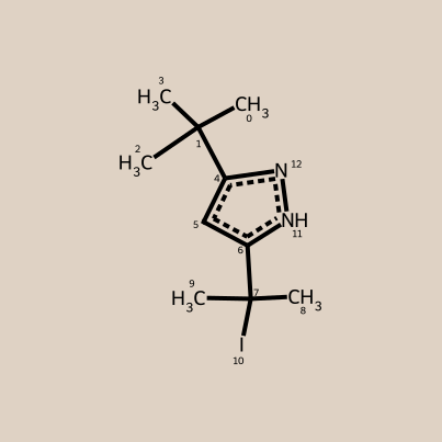 CC(C)(C)c1cc(C(C)(C)I)[nH]n1